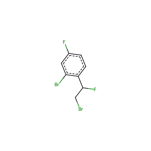 Fc1ccc(C(F)CBr)c(Br)c1